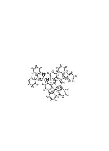 c1ccc(-c2nc(N(c3ccc(-c4cccc5c4oc4ccccc45)cc3)c3cccc4c3-c3ccccc3C43c4ccccc4-c4ccccc43)nc3ccccc23)cc1